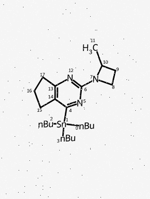 CCC[CH2][Sn]([CH2]CCC)([CH2]CCC)[c]1nc(N2CCC2C)nc2c1CCC2